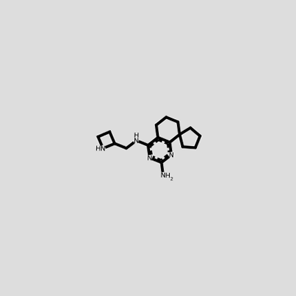 Nc1nc(NCC2CCN2)c2c(n1)C1(CCCC1)CCC2